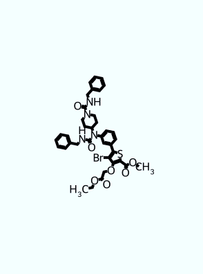 CCOC(=O)COc1c(C(=O)OC)sc(-c2cccc(N(C(=O)NCc3ccccc3)C3CCN(C(=O)NCc4ccccc4)CC3)c2)c1Br